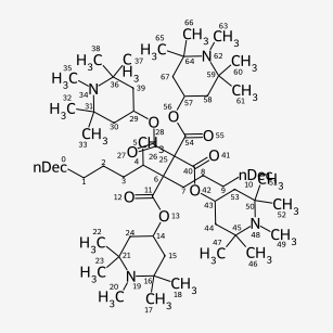 CCCCCCCCCCCCCC(C)C(CCCCCCCCCCCCC)(C(=O)OC1CC(C)(C)N(C)C(C)(C)C1)C(C(=O)OC1CC(C)(C)N(C)C(C)(C)C1)(C(=O)OC1CC(C)(C)N(C)C(C)(C)C1)C(=O)OC1CC(C)(C)N(C)C(C)(C)C1